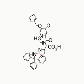 O=C(N[C@H](C(=O)O)c1csc(NC(c2ccccc2)(c2ccccc2)c2ccccc2)n1)c1cc(=O)c(OCc2ccccc2)cn1O